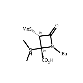 CS[C@@H]1C(=O)N(C(C)(C)C)[C@]1(C(=O)O)[SiH](C)C